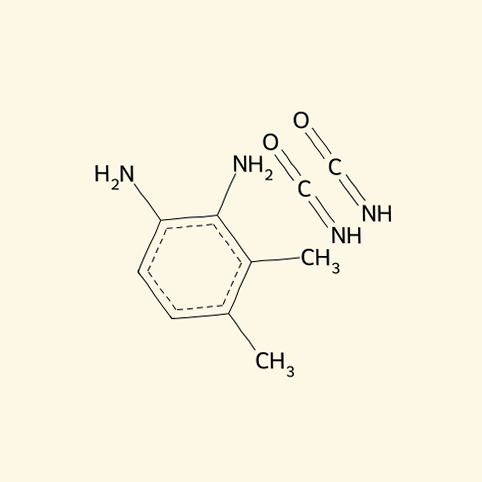 Cc1ccc(N)c(N)c1C.N=C=O.N=C=O